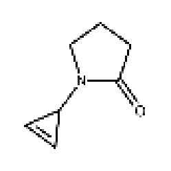 O=C1CCCN1C1C=C1